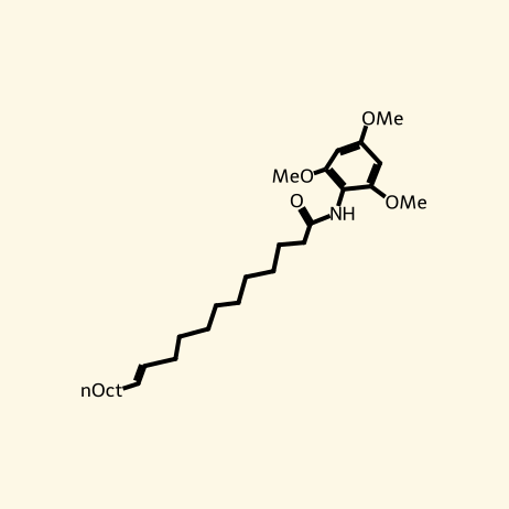 CCCCCCCCC=CCCCCCCCCCC(=O)Nc1c(OC)cc(OC)cc1OC